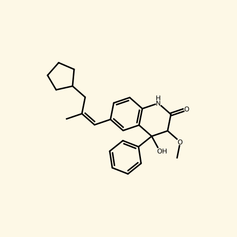 COC1C(=O)Nc2ccc(C=C(C)CC3CCCC3)cc2C1(O)c1ccccc1